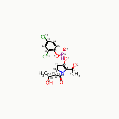 CC(=O)C1=C(O[PH](=O)Oc2ccc(Cl)cc2Cl)CC2[C@@H]([C@@H](C)O)C(=O)N12